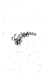 CCS(=O)(=O)c1ccc(Cl)cc1CNC(=O)c1ccc(CN2CCCC(NC(=O)CNC)C2)c(C(F)(F)F)c1